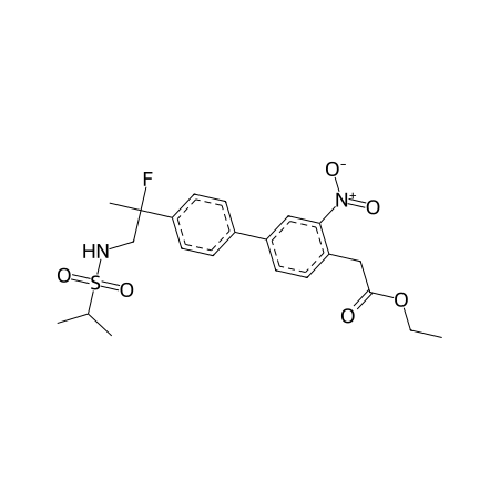 CCOC(=O)Cc1ccc(-c2ccc(C(C)(F)CNS(=O)(=O)C(C)C)cc2)cc1[N+](=O)[O-]